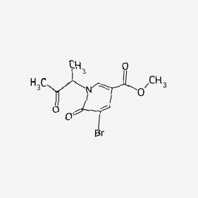 COC(=O)c1cc(Br)c(=O)n(C(C)C(C)=O)c1